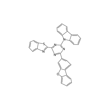 c1ccc2sc(-c3nc(-c4ccc5c(c4)oc4ccccc45)nc(-n4c5ccccc5c5ccccc54)n3)nc2c1